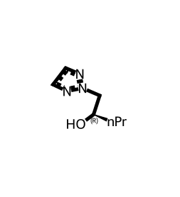 CCC[C@@H](O)Cn1nccn1